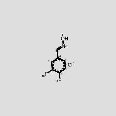 Cl.ON=Cc1ccc(F)c(F)c1